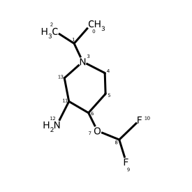 CC(C)N1CCC(OC(F)F)C(N)C1